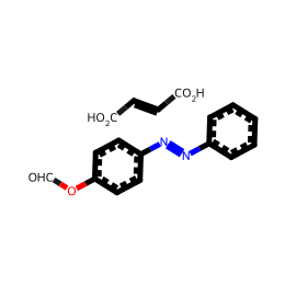 O=C(O)/C=C/C(=O)O.O=COc1ccc(N=Nc2ccccc2)cc1